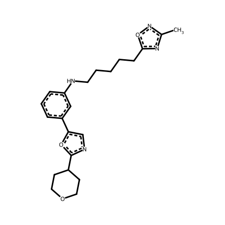 Cc1noc(CCCCCNc2cccc(-c3cnc(C4CCOCC4)o3)c2)n1